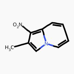 Cc1cn2ccccc2c1[N+](=O)[O-]